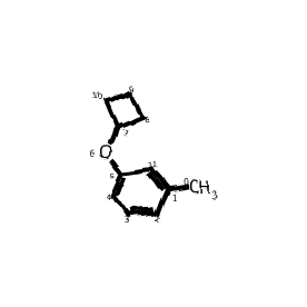 Cc1cccc(OC2CCC2)c1